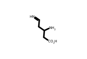 N=CCC(N)CC(=O)O